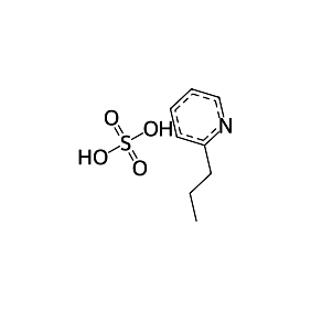 CCCc1ccccn1.O=S(=O)(O)O